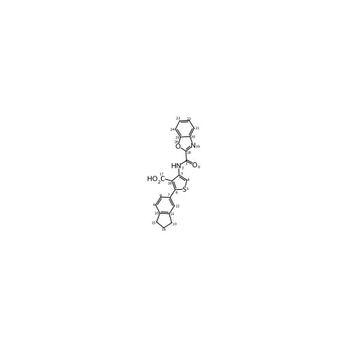 O=C(Nc1csc(-c2ccc3c(c2)CCC3)c1C(=O)O)c1nc2ccccc2o1